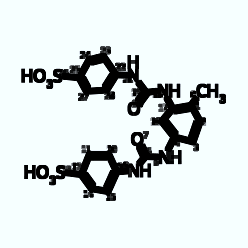 Cc1ccc(NC(=O)Nc2ccc(S(=O)(=O)O)cc2)cc1NC(=O)Nc1ccc(S(=O)(=O)O)cc1